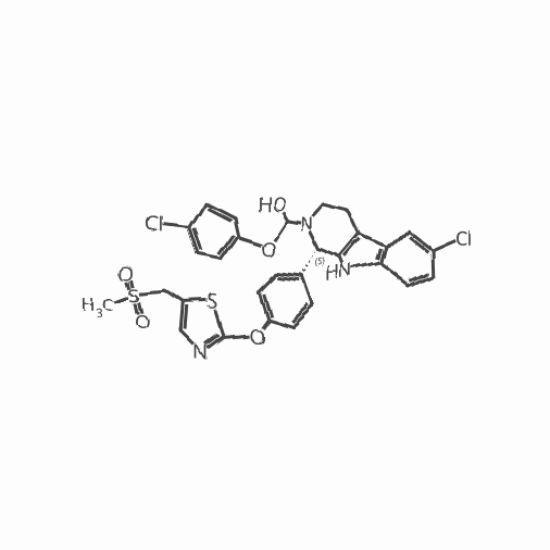 CS(=O)(=O)Cc1cnc(Oc2ccc([C@H]3c4[nH]c5ccc(Cl)cc5c4CCN3C(O)Oc3ccc(Cl)cc3)cc2)s1